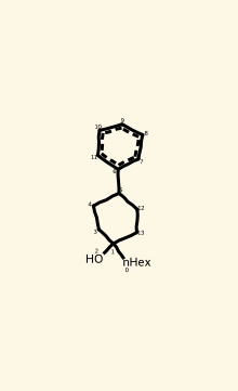 CCCCCCC1(O)CCC(c2ccccc2)CC1